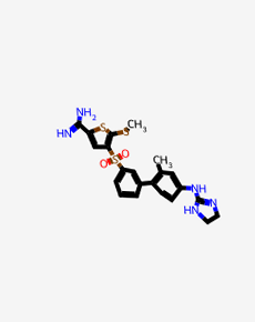 CSc1sc(C(=N)N)cc1S(=O)(=O)c1cccc(-c2ccc(NC3=NCCN3)cc2C)c1